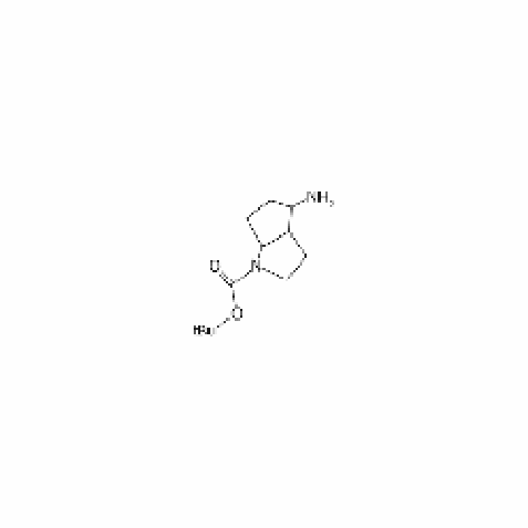 CC(C)(C)OC(=O)N1CCC2C(N)CCC21